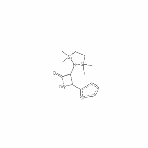 C[Si]1(C)CC[Si](C)(C)N1C1C(=O)NC1c1cccs1